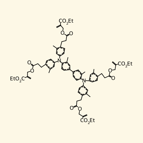 C=C(COC(=O)CCc1ccc(N(c2ccc(CCC(=O)OCC(=C)C(=O)OCC)c(C)c2)c2ccc(-c3ccc(N(c4ccc(CCC(=O)OCC(=C)C(=O)OCC)c(C)c4)c4ccc(CCC(=O)OCC(=C)C(=O)OCC)c(C)c4)c(C)c3)cc2C)cc1C)C(=O)OCC